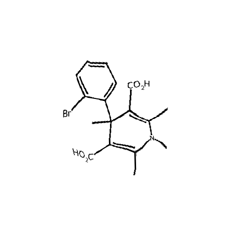 CC1=C(C(=O)O)C(C)(c2ccccc2Br)C(C(=O)O)=C(C)N1C